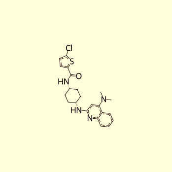 CN(C)c1cc(N[C@H]2CC[C@@H](NC(=O)c3ccc(Cl)s3)CC2)nc2ccccc12